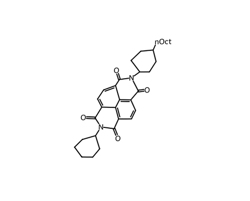 CCCCCCCCC1CCC(N2C(=O)c3ccc4c5c(ccc(c35)C2=O)C(=O)N(C2CCCCC2)C4=O)CC1